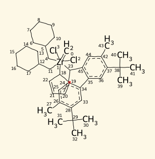 [CH2]=[Zr]([Cl])([Cl])([CH2]C1CCCCC1)([CH2]C1CCCCC1)([CH]1C=CC=C1)[CH]1c2cc(C)c(C(C)(C)C)cc2-c2cc(C(C)(C)C)c(C)cc21